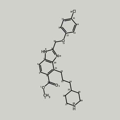 COC(=O)c1ccc2[nH]c(COc3ccc(Cl)cc3)nc2c1CCCC1CCNCC1